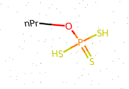 CCCOP(=S)(S)S